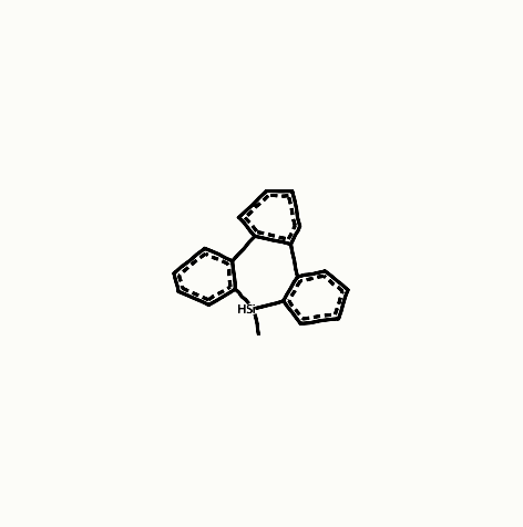 C[SiH]1c2ccccc2-c2ccccc2-c2ccccc21